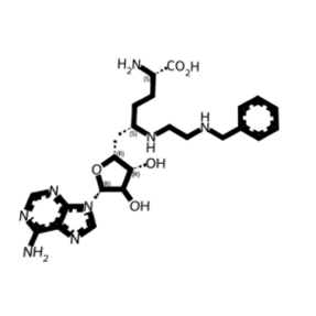 Nc1ncnc2c1ncn2[C@@H]1O[C@H](C[C@H](CC[C@H](N)C(=O)O)NCCNCc2ccccc2)[C@H](O)C1O